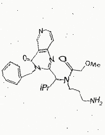 COCC(=O)N(CCCN)C(c1nc2ccncc2c(=O)n1Cc1ccccc1)C(C)C